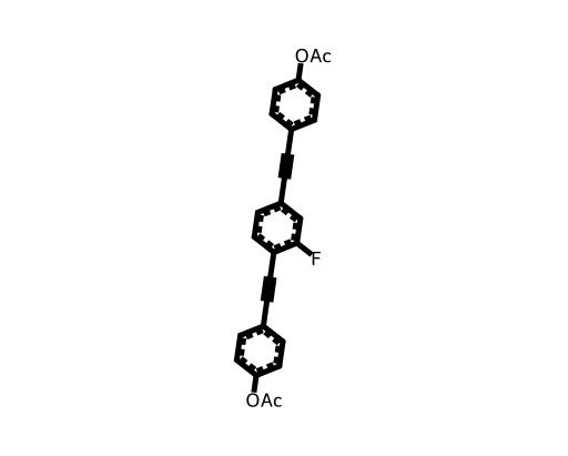 CC(=O)Oc1ccc(C#Cc2ccc(C#Cc3ccc(OC(C)=O)cc3)c(F)c2)cc1